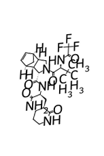 CC(C)(C)[C@H](NC(=O)C(F)(F)F)C(=O)N1C[C@H]2[C@@H]([C@H]1C(=O)N[C@@H](C[C@@H]1CCCNC1=O)C(N)=O)[C@H]1C=C[C@@H]2C1